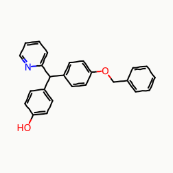 Oc1ccc(C(c2ccc(OCc3ccccc3)cc2)c2ccccn2)cc1